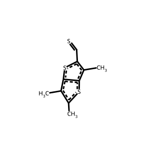 Cc1sc2c(C)c(C=S)sc2c1C